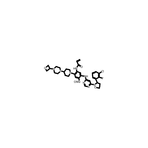 C=CC(=O)Nc1cc(Nc2cc(N3OCCC3c3cccc(Cl)c3F)ncn2)c(OC)cc1N1CCC(N2CCN(C3COC3)CC2)CC1